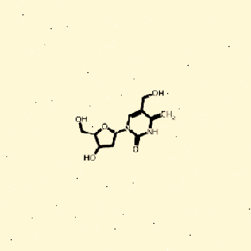 C=C1NC(=O)N([C@H]2CC(O)[C@@H](CO)O2)C=C1CO